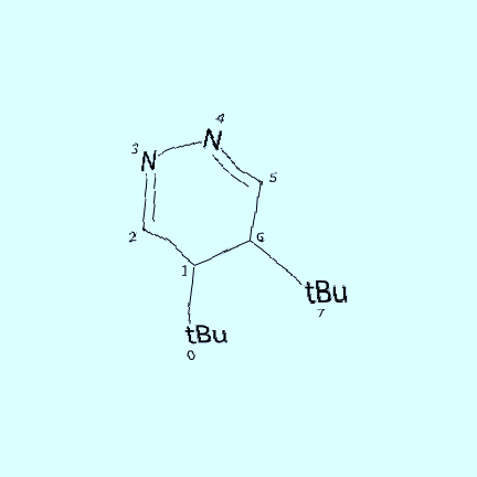 CC(C)(C)C1C=NN=CC1C(C)(C)C